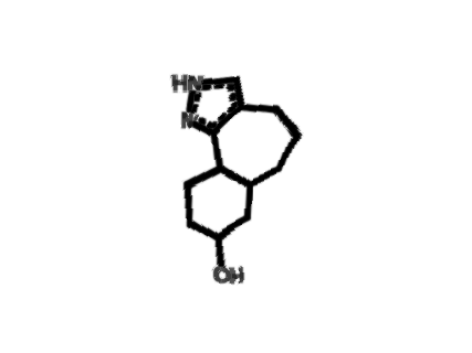 OC1CCC2c3n[nH]cc3CCCC2C1